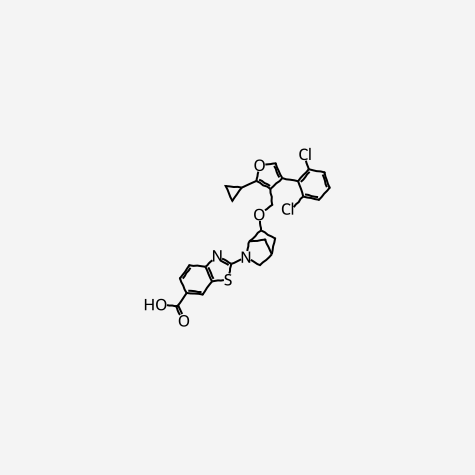 O=C(O)c1ccc2nc(N3CC4CC(OCc5c(-c6c(Cl)cccc6Cl)coc5C5CC5)C3C4)sc2c1